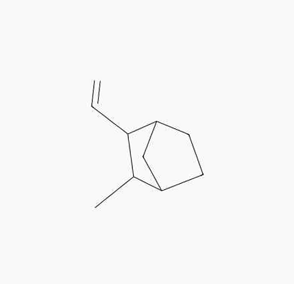 C=CC1C2CCC(C2)C1C